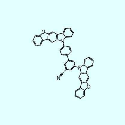 N#Cc1cc(-c2ccc(-n3c4ccccc4c4cc5oc6ccccc6c5cc43)cc2)cc(-n2c3ccccc3c3cc4oc5ccccc5c4cc32)c1